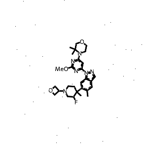 COc1nc(N2CCOCC2(C)C)cc(-n2ncc3cc(C)c(C4(C)CCN(C5COC5)CC4F)cc32)n1